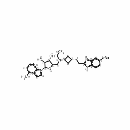 CC(C)(C)c1ccc2[nH]c(CC[C@H]3C[C@H](N(C[C@H]4O[C@@H](n5ccc6c(N)ncnc65)[C@@H](O)[C@H]4O)CC(F)(F)F)C3)nc2c1